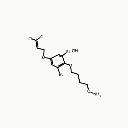 CCc1cc(OCC=C(Cl)Cl)cc(CC)c1OCCCCON.Cl